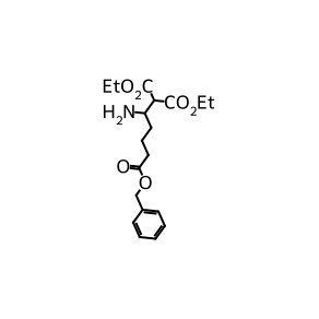 CCOC(=O)C(C(=O)OCC)C(N)CCCC(=O)OCc1ccccc1